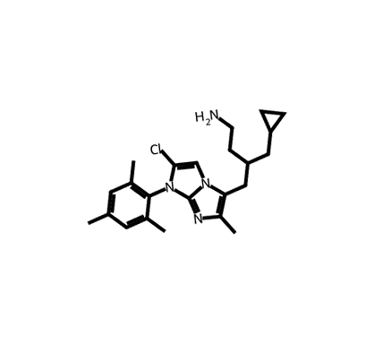 Cc1cc(C)c(-n2c(Cl)cn3c(CC(CCN)CC4CC4)c(C)nc23)c(C)c1